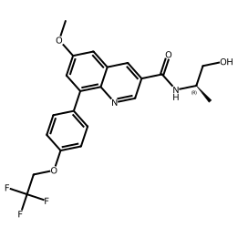 COc1cc(-c2ccc(OCC(F)(F)F)cc2)c2ncc(C(=O)N[C@H](C)CO)cc2c1